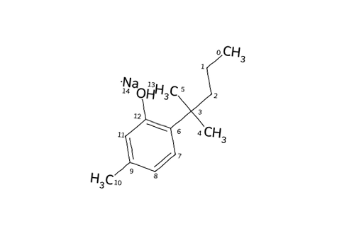 CCCC(C)(C)c1ccc(C)cc1O.[Na]